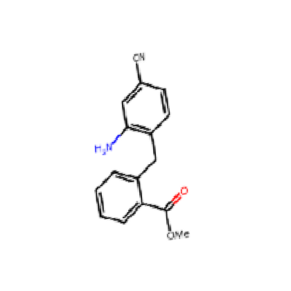 COC(=O)c1ccccc1Cc1ccc(C#N)cc1N